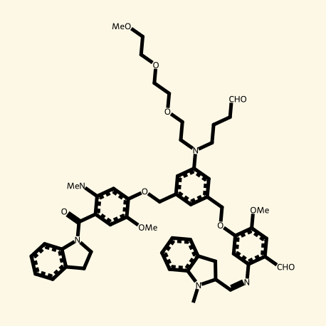 CNc1cc(OCc2cc(COc3cc(/N=C\C4Cc5ccccc5N4C)c(C=O)cc3OC)cc(N(CCCC=O)CCOCCOCCOC)c2)c(OC)cc1C(=O)N1CCc2ccccc21